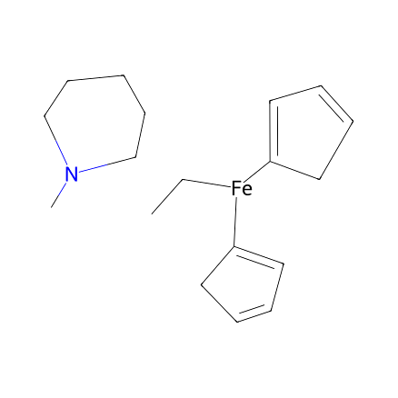 CN1CCCCC1.C[CH2][Fe]([C]1=CC=CC1)[C]1=CC=CC1